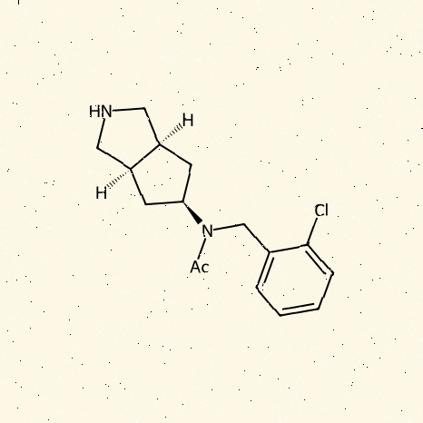 CC(=O)N(Cc1ccccc1Cl)[C@H]1C[C@H]2CNC[C@H]2C1